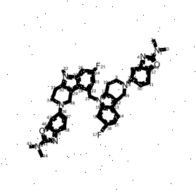 CN(C)c1nc2cc(N3CCc4c(c5ccc(F)cc5n4Cc4cc(F)cc5c4c4c(n5C)CCN(c5ccc6nc(N(C)C)oc6c5)C4)C3)ccc2o1